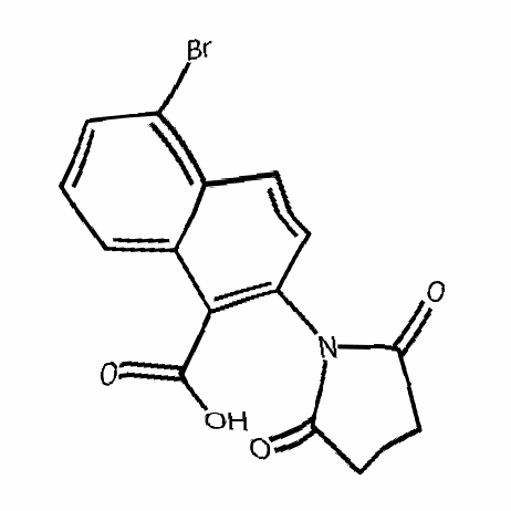 O=C(O)c1c(N2C(=O)CCC2=O)ccc2c(Br)cccc12